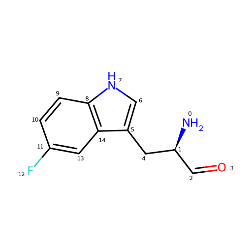 N[C@@H](C=O)Cc1c[nH]c2ccc(F)cc12